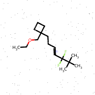 CCOCC1(CC/C=C/C(F)(F)C(C)(C)C)CCC1